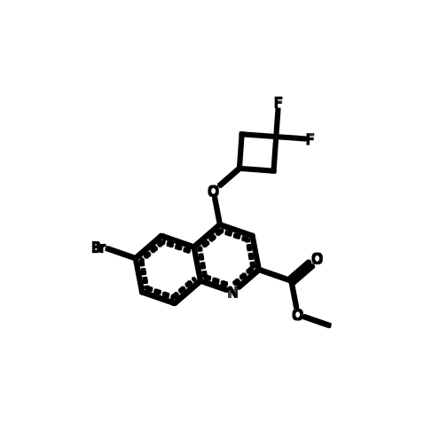 COC(=O)c1cc(OC2CC(F)(F)C2)c2cc(Br)ccc2n1